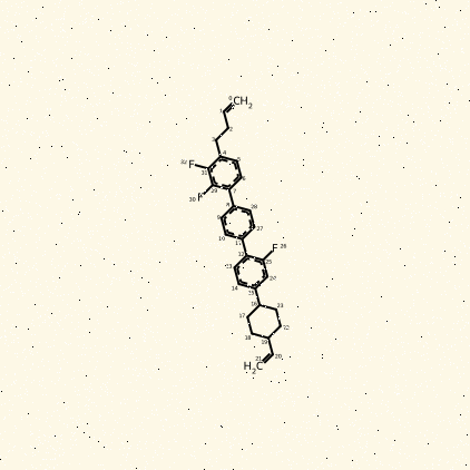 C=CCCc1ccc(-c2ccc(-c3ccc(C4CCC(C=C)CC4)cc3F)cc2)c(F)c1F